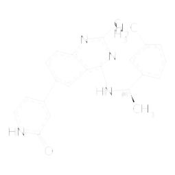 Cc1cccc([C@@H](C)Nc2nc(C)nc3ccc(-c4cc[nH]c(=O)c4)cc23)c1